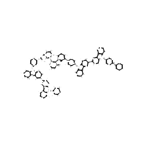 c1ccc(-c2ccc(-n3c4ccccc4c4cc(-c5ccc6c(c5)c5ccccc5n6-c5ccc(-c6cccc7c6sc6cccc(-c8cccc9sc(-c%10cccc(-n%11c%12ccccc%12c%12cc(-c%13ccc%14c(c%13)c%13ccccc%13n%14-c%13ccccc%13)ccc%12%11)c%10)nc89)c67)cc5)ccc43)cc2)cc1